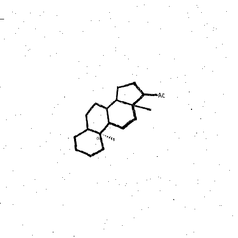 CC(=O)C1CCC2C3CCC4CCCC[C@]4(C)C3CCC12C